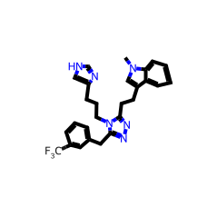 Cn1cc(CCc2nnc(Cc3cccc(C(F)(F)F)c3)n2CCCc2c[nH]cn2)c2ccccc21